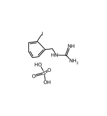 N=C(N)NCc1ccccc1I.O=S(=O)(O)O